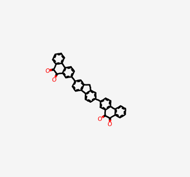 O=C1C(=O)c2cc(-c3ccc4c(c3)Cc3cc(-c5ccc6c(c5)C(=O)C(=O)c5ccccc5-6)ccc3-4)ccc2-c2ccccc21